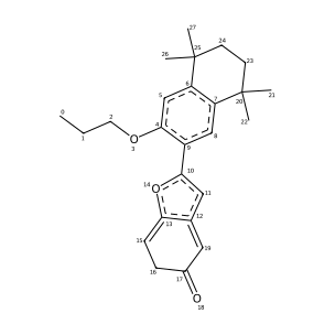 CCCOc1cc2c(cc1-c1cc3c(o1)=CCC(=O)C=3)C(C)(C)CCC2(C)C